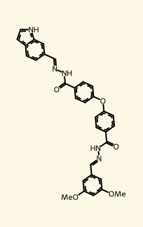 COc1cc(/C=N/NC(=O)c2ccc(Oc3ccc(C(=O)N/N=C/c4ccc5cc[nH]c5c4)cc3)cc2)cc(OC)c1